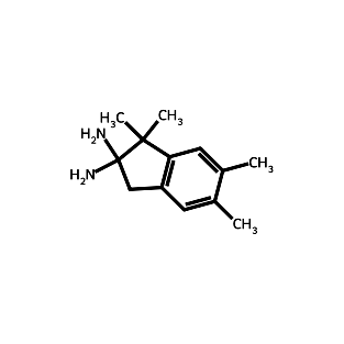 Cc1cc2c(cc1C)C(C)(C)C(N)(N)C2